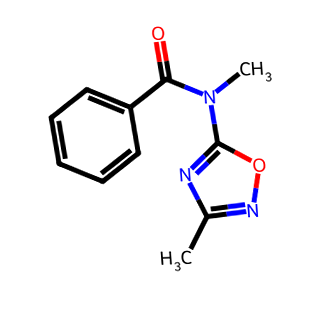 Cc1noc(N(C)C(=O)c2ccccc2)n1